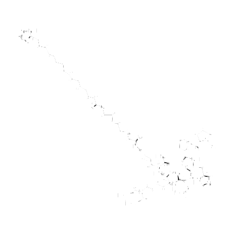 CC(=O)N1CCC[C@H]1C(=O)N1CCC[C@H]1C(=O)N[C@@H](Cc1cnc[nH]1)C(=O)N[C@@H](CC(=O)O)C(=O)N[C@@H](CCCCN(CC(=O)O)CC(=O)O)C(=O)N[C@@H](CCCCNC(=O)COCCOCCNC(=O)CCCCCCCCCCCCCCCc1nnn[nH]1)C(N)=O